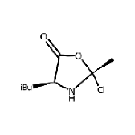 CCC(C)[C@@H]1N[C@@](C)(Cl)OC1=O